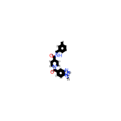 Cc1cccc(CNC(=O)C2CCN(C(=O)c3ccc4c(c3)nnn4C)CC2)c1